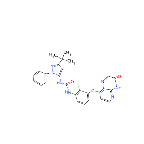 CC(C)(C)c1cc(NC(=O)Nc2cccc(Oc3ccnc4[nH]c(=O)cnc34)c2F)n(-c2ccccc2)n1